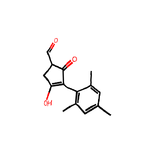 Cc1cc(C)c(C2=C(O)CC(C=O)C2=O)c(C)c1